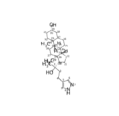 CC(O)(CCc1cn[nH]c1)[C@H]1CC[C@H]2[C@@H]3CCC4C[C@@H](O)CC[C@]4(C)[C@H]3CC[C@]12C